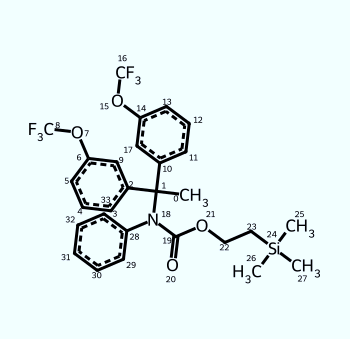 CC(c1cccc(OC(F)(F)F)c1)(c1cccc(OC(F)(F)F)c1)N(C(=O)OCC[Si](C)(C)C)c1ccccc1